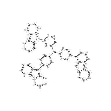 c1cc(N(c2ccc(-c3cccc4c3oc3ccccc34)cc2)c2ccc(-n3c4ccccc4c4ccccc43)cc2)cc(-n2c3ccccc3c3ccccc32)c1